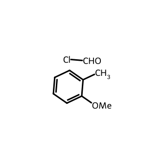 COc1ccccc1C.O=CCl